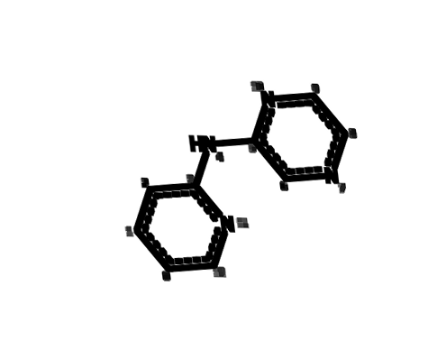 c1ccc(Nc2cnccn2)nc1